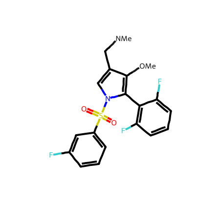 CNCc1cn(S(=O)(=O)c2cccc(F)c2)c(-c2c(F)cccc2F)c1OC